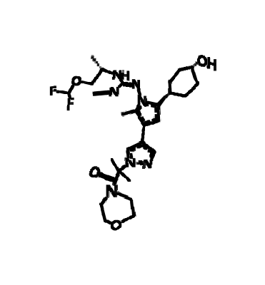 C=N/C(=N\n1c(C)c(-c2cnn(C(C)(C)C(=O)N3CCOCC3)c2)cc1[C@H]1CC[C@H](O)CC1)N[C@@H](C)COC(F)F